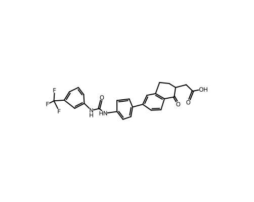 O=C(O)CC1CCc2cc(-c3ccc(NC(=O)Nc4cccc(C(F)(F)F)c4)cc3)ccc2C1=O